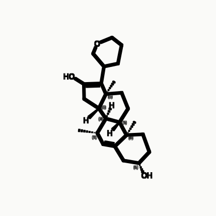 C[C@H]1C=C2C[C@@H](O)CC[C@]2(C)[C@H]2CC[C@]3(C)C(C4CCCOC4)=C(O)C[C@H]3[C@H]12